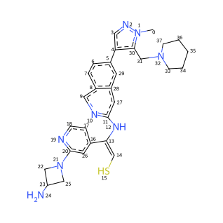 Cn1ncc(-c2ccc3cnc(N/C(=C/S)c4ccnc(N5CC(N)C5)c4)cc3c2)c1CN1CCCCC1